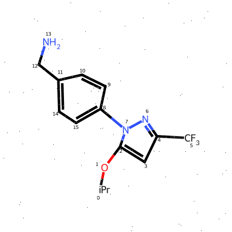 CC(C)Oc1cc(C(F)(F)F)nn1-c1ccc(CN)cc1